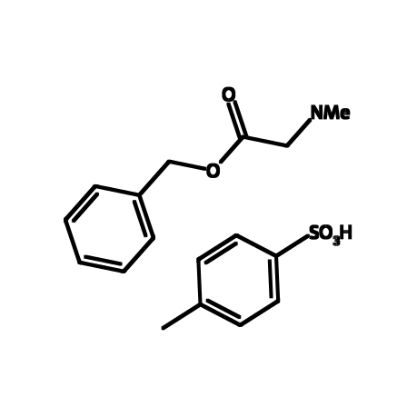 CNCC(=O)OCc1ccccc1.Cc1ccc(S(=O)(=O)O)cc1